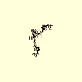 CN(C)Cc1ccc(CSCCNC(=C[N+](=O)[O-])NCCSCc2ccc(CN(C)C)o2)o1